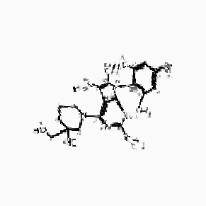 [C-]#[N+]C1(CO)CCCN(c2nc(C)nc3c2c(C)c(C)n3-c2c(C)cc(Br)cc2C)C1